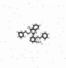 Nc1cccc(-c2nc3ccccc3c(=O)n2CCc2ccccc2)c1CCc1ccccc1